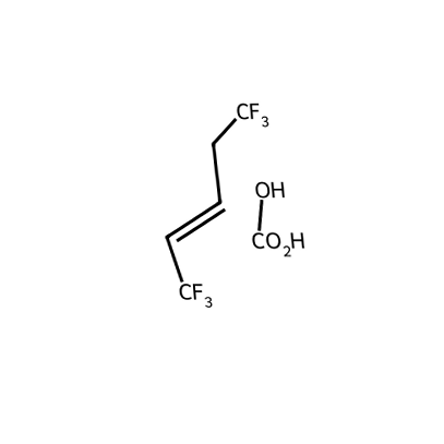 FC(F)(F)C=CCC(F)(F)F.O=C(O)O